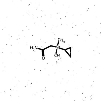 C[N+](C)(CC(N)=O)C1CC1.[I-]